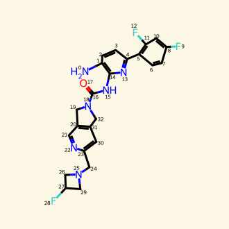 Nc1ccc(-c2ccc(F)cc2F)nc1NC(=O)N1Cc2cnc(CN3CC(F)C3)cc2C1